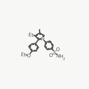 CCOc1ccc(-c2c(CC)c(C)cn2-c2ccc(S(N)(=O)=O)cc2)cc1